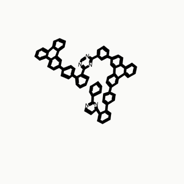 c1ccc(-c2nccc(-c3ccccc3-c3ccc(-c4ccc5c(c4)c4ccccc4c4ccc(-c6cccc(-c7ncnc(-c8ccccc8-c8ccc(-c9ccc%10c%11ccccc%11c%11ccccc%11c%10c9)cc8)n7)c6)cc45)cc3)n2)cc1